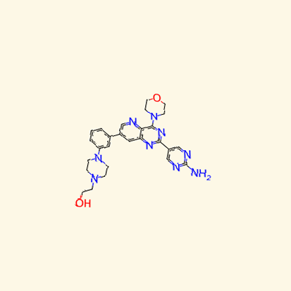 Nc1ncc(-c2nc(N3CCOCC3)c3ncc(-c4cccc(N5CCN(CCO)CC5)c4)cc3n2)cn1